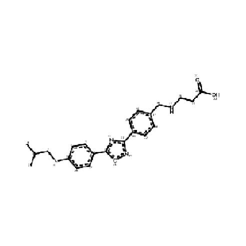 CC(C)CSc1ccc(-c2nc(-c3ccc(CNCCC(=O)O)cc3)no2)cc1